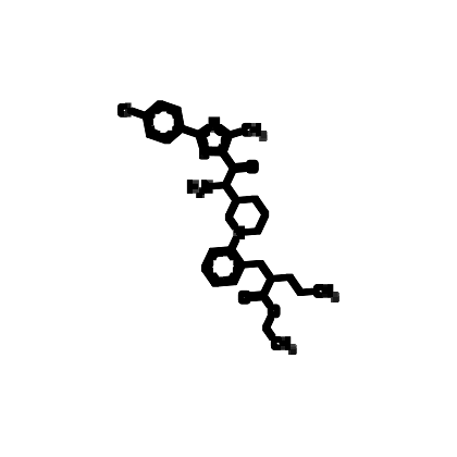 CCCC(Cc1ccccc1N1CCCC(C(N)C(=O)c2sc(-c3ccc(Cl)cc3)nc2C)C1)C(=O)OCC